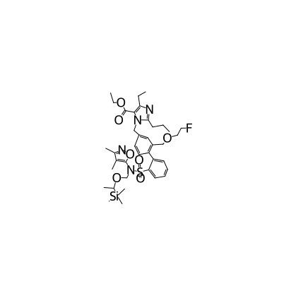 CCCc1nc(CC)c(C(=O)OCC)n1Cc1ccc(-c2ccccc2S(=O)(=O)N(COC(C)[Si](C)(C)C)c2onc(C)c2C)c(COCCF)c1